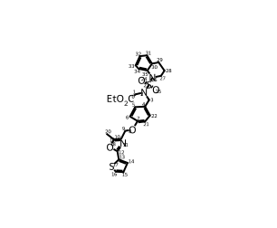 CCOC(=O)CN(Cc1ccc(OCc2nc(-c3cccs3)oc2C)cc1)S(=O)(=O)N1CCCc2ccccc21